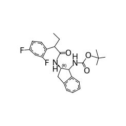 CCC(C(=O)N[C@@H]1Cc2ccccc2C1NC(=O)OC(C)(C)C)c1ccc(F)cc1F